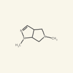 CN1CC2C=NN(C)C2C1